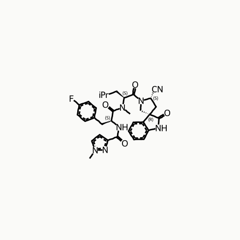 CC(C)C[C@@H](C(=O)N1C[C@]2(C[C@H]1C#N)C(=O)Nc1ccccc12)N(C)C(=O)[C@H](Cc1ccc(F)cc1)NC(=O)c1ccn(C)n1